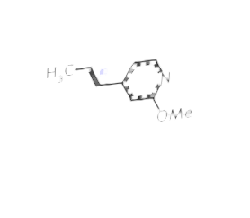 C/C=C/c1ccnc(OC)c1